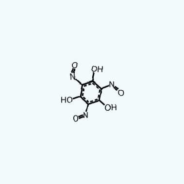 O=Nc1c(O)c(N=O)c(O)c(N=O)c1O